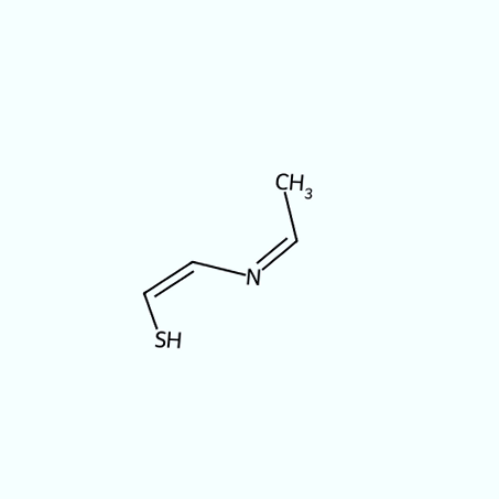 C/C=N\C=C/S